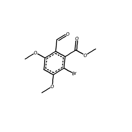 COC(=O)c1c(Br)c(OC)cc(OC)c1C=O